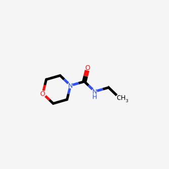 C[CH]NC(=O)N1CCOCC1